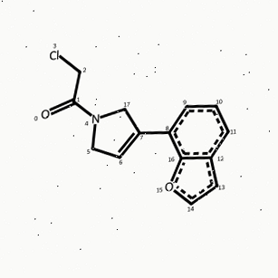 O=C(CCl)N1CC=C(c2cccc3ccoc23)C1